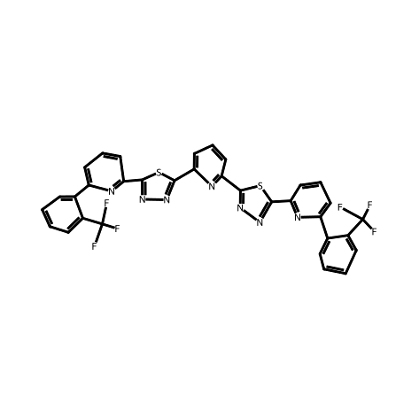 FC(F)(F)c1ccccc1-c1cccc(-c2nnc(-c3cccc(-c4nnc(-c5cccc(-c6ccccc6C(F)(F)F)n5)s4)n3)s2)n1